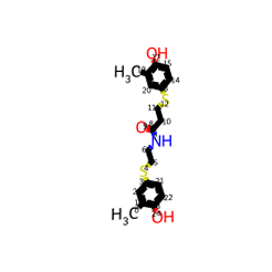 Cc1cc(SCCNC(=O)CCSc2ccc(O)c(C)c2)ccc1O